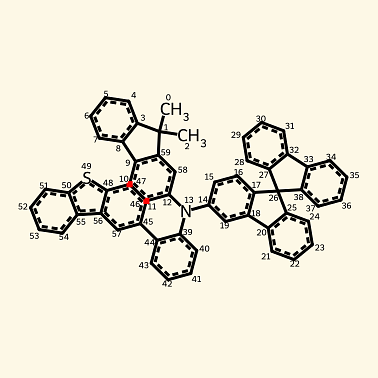 CC1(C)c2ccccc2-c2ccc(N(c3ccc4c(c3)-c3ccccc3C43c4ccccc4-c4ccccc43)c3ccccc3-c3ccc4sc5ccccc5c4c3)cc21